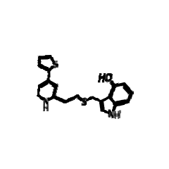 Oc1cccc2[nH]cc(CSCCC3CC(c4cccs4)=CCN3)c12